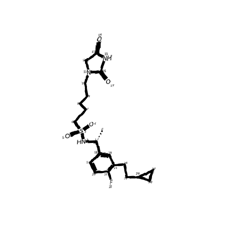 C[C@@H](NS(=O)(=O)CCCCCN1CC(=O)NC1=O)c1ccc(F)c(CCC2CC2)c1